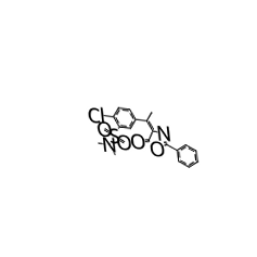 CC(=C1N=C(c2ccccc2)OC1=O)c1ccc(Cl)c(S(=O)(=O)N(C)C)c1